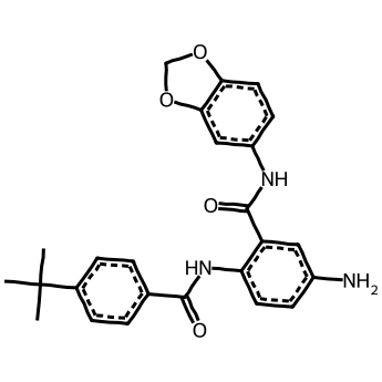 CC(C)(C)c1ccc(C(=O)Nc2ccc(N)cc2C(=O)Nc2ccc3c(c2)OCO3)cc1